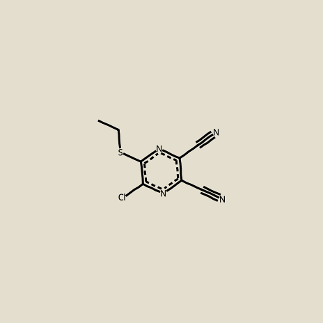 CCSc1nc(C#N)c(C#N)nc1Cl